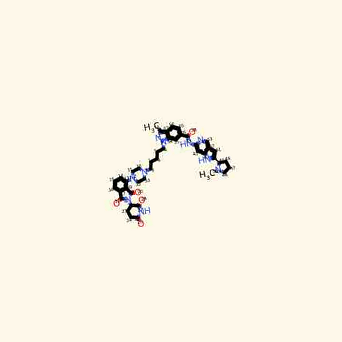 Cc1nn(CCCCCN2CCN(c3cccc4c3C(=O)N(C3CCC(=O)NC3=O)C4=O)CC2)c2cc(C(=O)Nc3cc4[nH]c([C@H]5CCCN5C)cc4cn3)ccc12